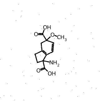 COC1(C(=O)O)C=CC2=C(CCC2(N)C(=O)O)C1